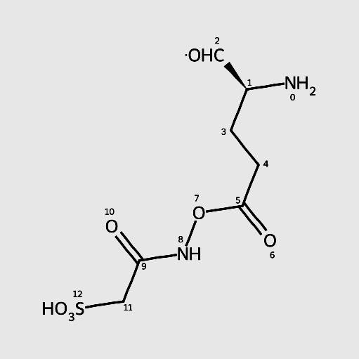 N[C@H]([C]=O)CCC(=O)ONC(=O)CS(=O)(=O)O